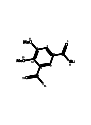 COc1cc(C(=O)C(C)(C)C)cc(C(=O)I)c1OC